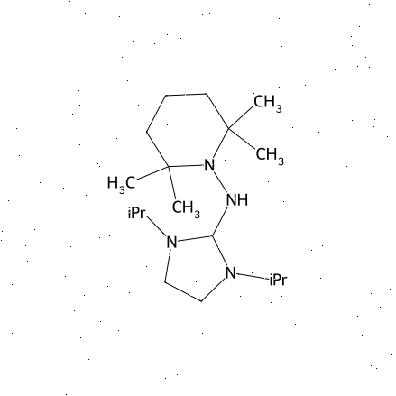 CC(C)N1CCN(C(C)C)C1NN1C(C)(C)CCCC1(C)C